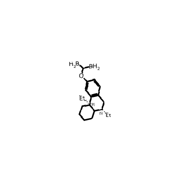 BC(B)Oc1ccc2c(c1)[C@]1(CC)CCCCC1[C@@H](CC)C2